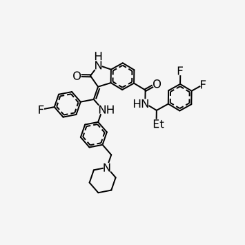 CCC(NC(=O)c1ccc2c(c1)C(=C(Nc1cccc(CN3CCCCC3)c1)c1ccc(F)cc1)C(=O)N2)c1ccc(F)c(F)c1